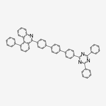 c1ccc(-c2nc(-c3ccccc3)nc(-c3ccc(-c4ccc(-c5ccc(-c6nc7ccccc7c7c(-c8ccccc8)cccc67)cc5)cc4)cc3)n2)cc1